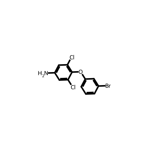 Nc1cc(Cl)c(Oc2cccc(Br)c2)c(Cl)c1